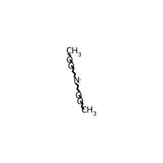 CCCOCOCCCC[N]CCCCOCOCCC